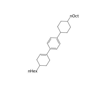 CCCCCCCCC1CCC(c2ccc(C3=CCC(CCCCCC)CC3)cc2)CC1